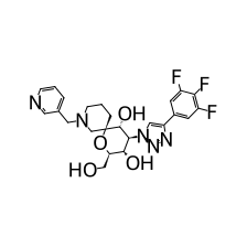 OC[C@H]1O[C@@]2(CCCN(Cc3cccnc3)C2)[C@H](O)[C@@H](n2cc(-c3cc(F)c(F)c(F)c3)nn2)[C@H]1O